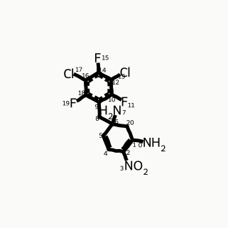 NC1=C([N+](=O)[O-])C=CC(N)(Cc2c(F)c(Cl)c(F)c(Cl)c2F)C1